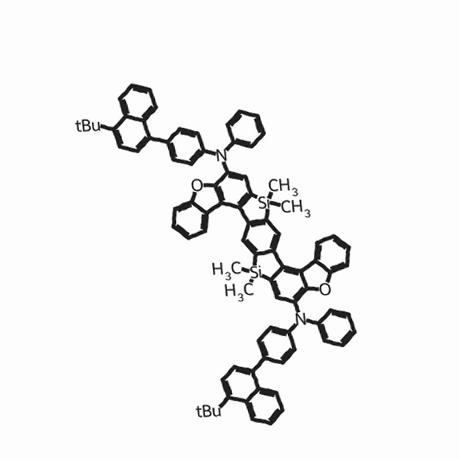 CC(C)(C)c1ccc(-c2ccc(N(c3ccccc3)c3cc4c(c5c3oc3ccccc35)-c3cc5c(cc3[Si]4(C)C)-c3c(cc(N(c4ccccc4)c4ccc(-c6ccc(C(C)(C)C)c7ccccc67)cc4)c4oc6ccccc6c34)[Si]5(C)C)cc2)c2ccccc12